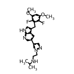 COc1cc(OC)c(F)c(Cc2c[nH]c3ncc(-c4cnn(CCNC(C)C)c4)cc23)c1F